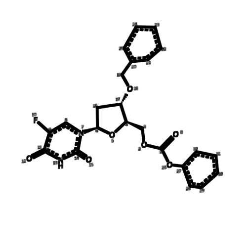 O=C(OC[C@H]1O[C@@H](n2cc(F)c(=O)[nH]c2=O)C[C@@H]1OCc1ccccc1)Oc1ccccc1